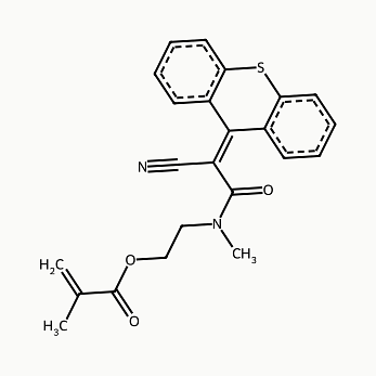 C=C(C)C(=O)OCCN(C)C(=O)C(C#N)=C1c2ccccc2Sc2ccccc21